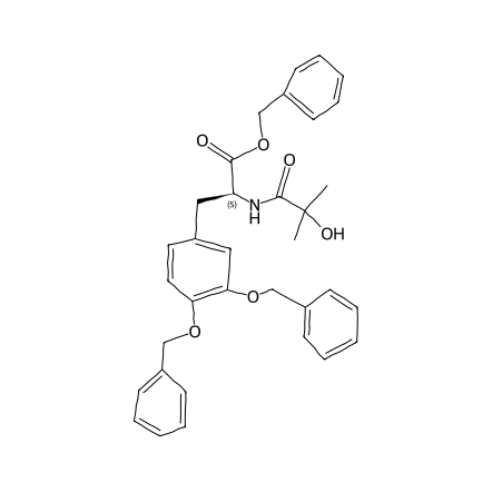 CC(C)(O)C(=O)N[C@@H](Cc1ccc(OCc2ccccc2)c(OCc2ccccc2)c1)C(=O)OCc1ccccc1